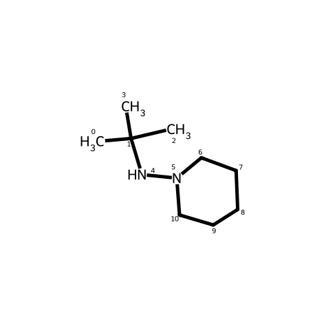 CC(C)(C)NN1CCCCC1